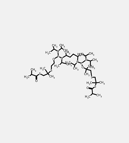 CC(C)C(=O)SCC(C)(C)SCCOP(N(C(C)C)C(C)C)N(C(C)C)C(C)CCC(C)N(C(C)C)P(OC(C)(C)CSCC(C)(C)SC(=O)C(C)C)N(C(C)C)C(C)C